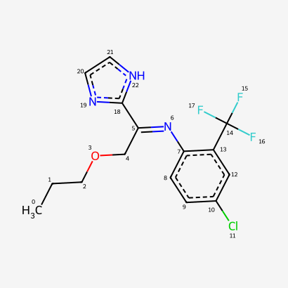 CCCOCC(=Nc1ccc(Cl)cc1C(F)(F)F)c1ncc[nH]1